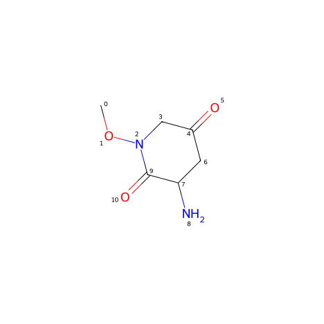 CON1CC(=O)CC(N)C1=O